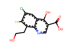 O=C(O)c1cnc2c(CCO)c(F)c(Cl)cc2c1O